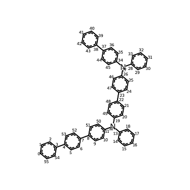 c1ccc(-c2ccc(-c3ccc(N(c4ccccc4)c4ccc(-c5ccc(N(c6ccccc6)c6ccc(-c7ccccc7)cc6)cc5)cc4)cc3)cc2)cc1